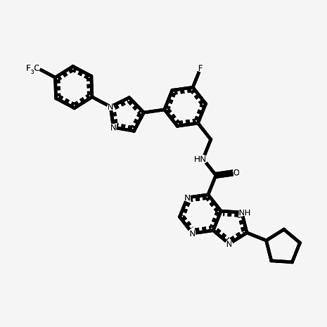 O=C(NCc1cc(F)cc(-c2cnn(-c3ccc(C(F)(F)F)cc3)c2)c1)c1ncnc2nc(C3CCCC3)[nH]c12